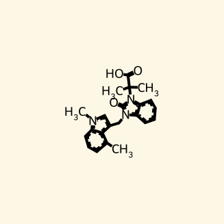 Cc1cccc2c1c(Cn1c(=O)n(C(C)(C)C(=O)O)c3ccccc31)cn2C